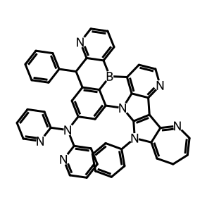 C1=CN=c2c(n(-c3ccccc3)c3c2c2nccc4c2n3-c2cc(N(c3ccccn3)c3ccccn3)cc3c2B4c2cccnc2C3c2ccccc2)=CC1